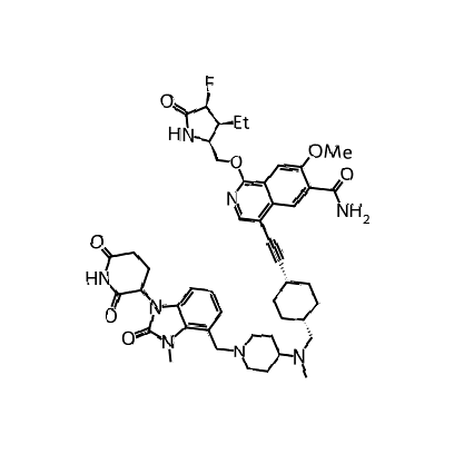 CC[C@@H]1[C@H](F)C(=O)N[C@@H]1COc1ncc(C#C[C@H]2CC[C@@H](CN(C)C3CCN(Cc4cccc5c4n(C)c(=O)n5C4CCC(=O)NC4=O)CC3)CC2)c2cc(C(N)=O)c(OC)cc12